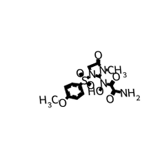 COc1ccc(S(=O)(=O)N2CC(=O)N(C)[C@@H]2N(O)C(=O)C(N)=O)cc1